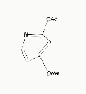 COc1ccnc(OC(C)=O)c1